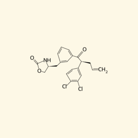 C=CC[C@H](C(=O)c1cccc(C[C@H]2COC(=O)N2)c1)c1ccc(Cl)c(Cl)c1